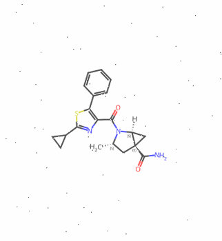 [CH2][C@H]1C[C@@]2(C(N)=O)C[C@@H]2N1C(=O)c1nc(C2CC2)sc1-c1ccccc1